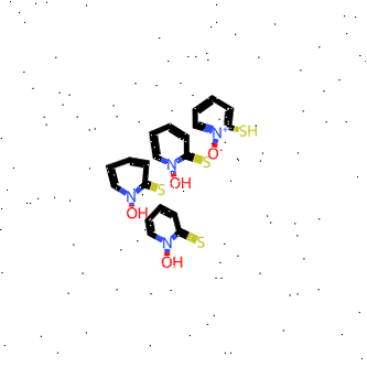 On1ccccc1=S.On1ccccc1=S.On1ccccc1=S.[O-][n+]1ccccc1S